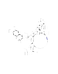 Cc1nc2cc(F)c(F)cc2c2c1O[C@]1(CC2)C[C@H]2C(=O)N[C@]3(C(=O)NS(=O)(=O)C4(C)CC4)C[C@H]3/C=C\CCCCC[C@H](N(CC(C)C)C(=O)O)C(=O)N2C1